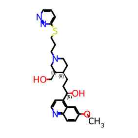 COc1ccc2nccc([C@H](O)CC[C@@H]3CCN(CCCSc4cccnn4)C[C@@H]3CO)c2c1